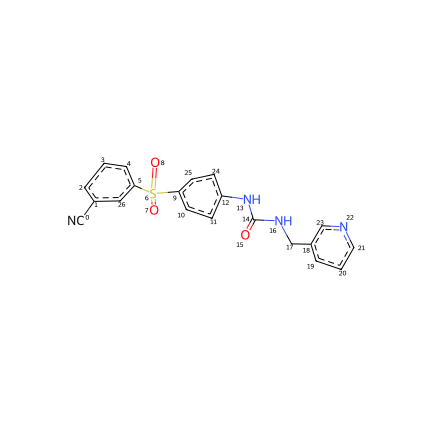 N#Cc1cccc(S(=O)(=O)c2ccc(NC(=O)NCc3cccnc3)cc2)c1